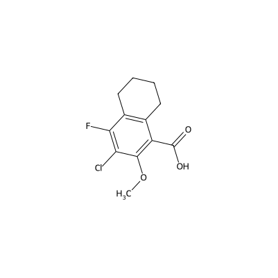 COc1c(Cl)c(F)c2c(c1C(=O)O)CCCC2